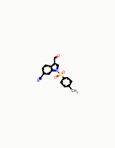 Cc1ccc(S(=O)(=O)n2cc(C=O)c3ccc(C#N)cc32)cc1